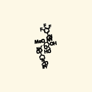 CO[C@@H]1[C@@H](n2cc(-c3cc(F)c(F)c(F)c3)nn2)[C@@H](O)[C@@H](CO)O[C@@H]1Cc1cc(C2CCN(C(=O)CC(C)C)CC2)on1